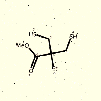 CCC(CS)(CS)C(=O)OC